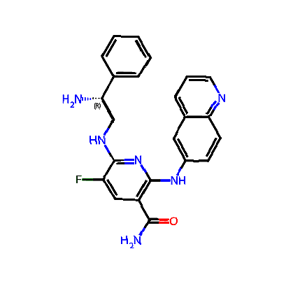 NC(=O)c1cc(F)c(NC[C@H](N)c2ccccc2)nc1Nc1ccc2ncccc2c1